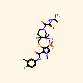 Cc1cc(NC(=O)c2c3c(cn2C)S(=O)(=O)N[C@H]2CN(C(=O)C(=O)N[C@@H](C)C(F)(F)F)CC[C@H]2CO3)ccc1F